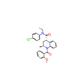 CCN(C(=O)[C@H]1C[C@H](C)N(C(=O)c2ccccc2OC)c2ccccc21)c1ccc(Cl)cc1